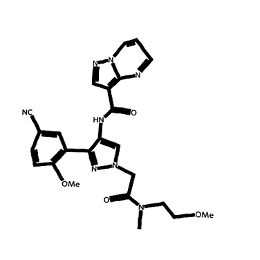 COCCN(C)C(=O)Cn1cc(NC(=O)c2cnn3cccnc23)c(-c2cc(C#N)ccc2OC)n1